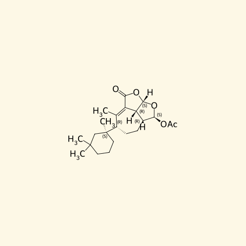 CC(=O)O[C@@H]1O[C@H]2OC(=O)C3=C(C)[C@@H]([C@@]4(C)CCCC(C)(C)C4)CC[C@@H]1[C@H]32